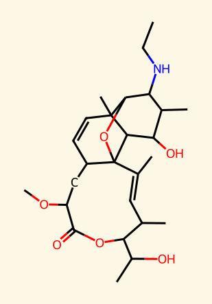 CCNC1C(C)C(O)C2C3(C)C=CC4CC(OC)C(=O)OC(C(C)O)C(C)/C=C(\C)C42OC13